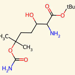 CC(C)(C)OC(=O)C(N)C(O)CCC(C)(C)OC(N)=O